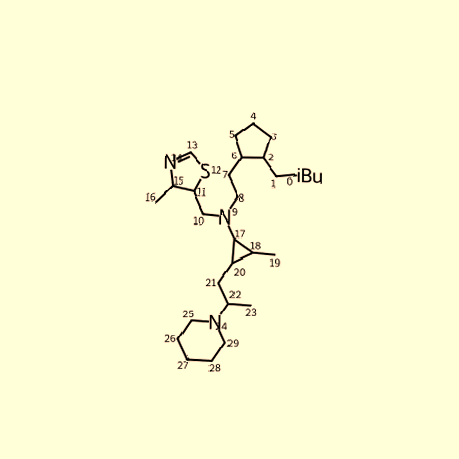 CCC(C)CC1CCCC1CCN(CC1SC=NC1C)C1C(C)C1CC(C)N1CCCCC1